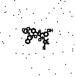 Cc1c(N(C(=O)c2cc(-c3ccc(Cl)cc3C(=O)N3Cc4ccccc4C[C@H]3CN3CCOCC3)n(C)c2C)c2ccc(O)cc2)cc(C#N)n1C